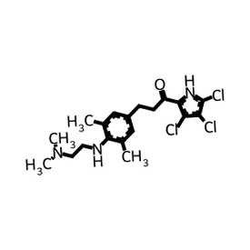 Cc1cc(CCC(=O)c2[nH]c(Cl)c(Cl)c2Cl)cc(C)c1NCCN(C)C